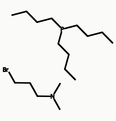 CCCCP(CCCC)CCCC.CN(C)CCCBr